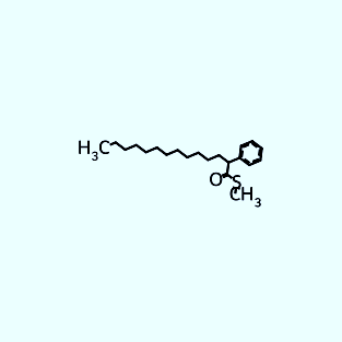 CCCCCCCCCCCCC(C(=O)SC)c1ccccc1